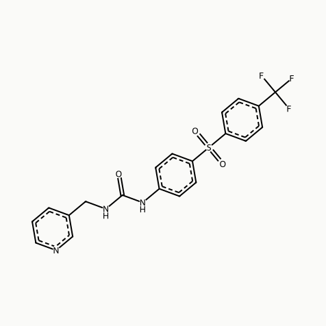 O=C(NCc1cccnc1)Nc1ccc(S(=O)(=O)c2ccc(C(F)(F)F)cc2)cc1